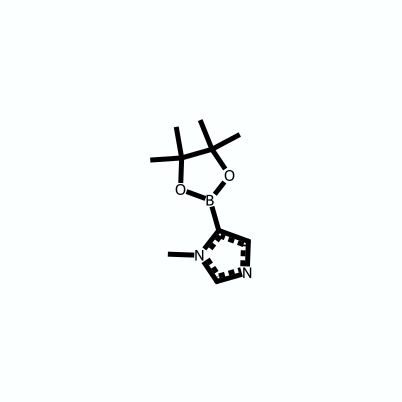 Cn1cncc1B1OC(C)(C)C(C)(C)O1